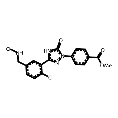 COC(=O)c1ccc(-n2nc(-c3cc(CNCl)ccc3Cl)[nH]c2=O)cc1